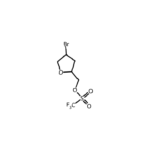 O=S(=O)(OCC1CC(Br)CO1)C(F)(F)F